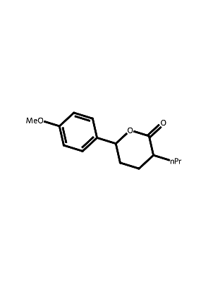 CCCC1CCC(c2ccc(OC)cc2)OC1=O